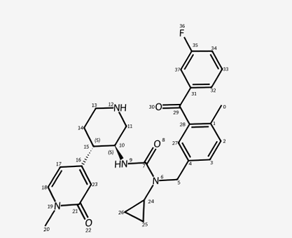 Cc1ccc(CN(C(=O)N[C@@H]2CNCC[C@H]2c2ccn(C)c(=O)c2)C2CC2)cc1C(=O)c1cccc(F)c1